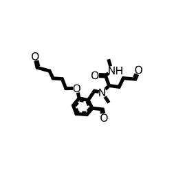 CNC(=O)C(CCC=O)N(C)Cc1c(C=O)cccc1OCCCCC=O